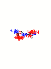 [N-]=[N+]=NCCc1ccccc1C(=O)OC1C[C@H](n2ccc(NCC(N=[N+]=[N-])c3ccccc3CC(=O)OC3C[C@H](n4cnc5c(N)ncnc54)O[C@@H]3COP(=O)(O)OP(=O)(O)OP(=O)(O)O)nc2=O)O[C@@H]1COP(=O)(O)OP(=O)(O)OP(=O)(O)O